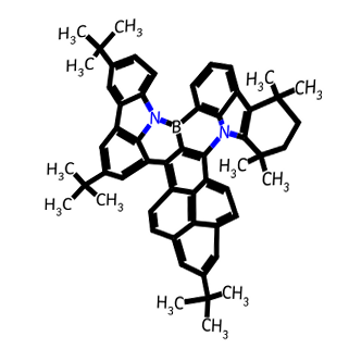 CC(C)(C)c1cc2ccc3c4c5c(c6ccc(c1)c2c36)-n1c2c(c3cccc(c31)B5n1c3ccc(C(C)(C)C)cc3c3cc(C(C)(C)C)cc-4c31)C(C)(C)CCC2(C)C